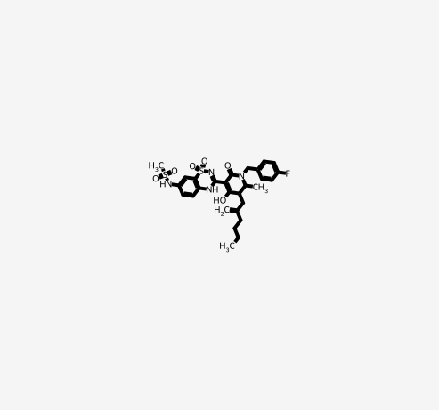 C=C(CCCC)CC1C(O)=C(C2=NS(=O)(=O)c3cc(NS(C)(=O)=O)ccc3N2)C(=O)N(Cc2ccc(F)cc2)C1C